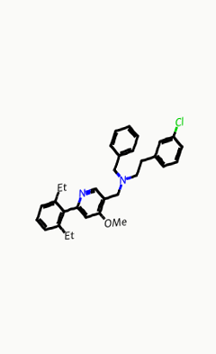 CCc1cccc(CC)c1-c1cc(OC)c(CN(CCc2cccc(Cl)c2)Cc2ccccc2)cn1